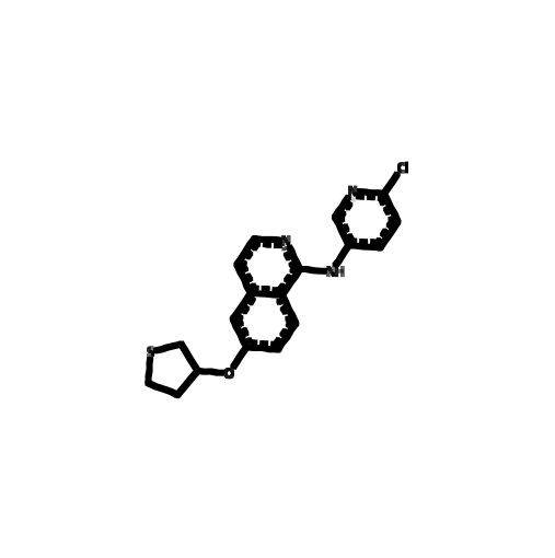 Clc1ccc(Nc2nccc3cc(OC4CCSC4)ccc23)cn1